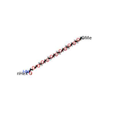 CCCCCCNC(=O)CCOCCOCCOCCOCCOCCOCCOCCOCCOCCOCCOCCOC